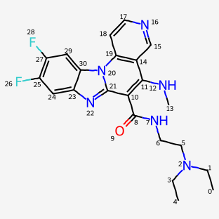 CCN(CC)CCNC(=O)c1c(NC)c2cnccc2n2c1nc1cc(F)c(F)cc12